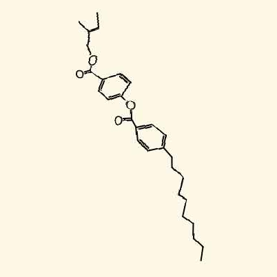 CCCCCCCCCCc1ccc(C(=O)Oc2ccc(C(=O)OCC(C)CC)cc2)cc1